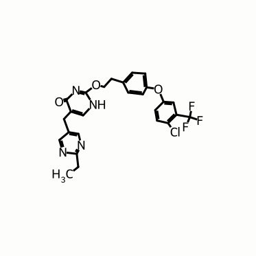 CCc1ncc(Cc2c[nH]c(OCCc3ccc(Oc4ccc(Cl)c(C(F)(F)F)c4)cc3)nc2=O)cn1